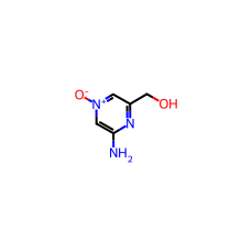 Nc1c[n+]([O-])cc(CO)n1